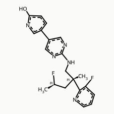 C[C@@H](F)C[C@](C)(CNc1ncc(-c2ccc(O)nc2)cn1)c1ncccc1F